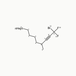 CCCCCCCCCCCC(C)C#CC(F)(F)Br